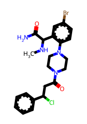 CNC(C(N)=O)c1cc(Br)ccc1N1CCN(C(=O)[CH]C(Cl)c2ccccc2)CC1